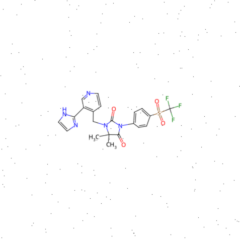 CC1(C)C(=O)N(c2ccc(S(=O)(=O)C(F)(F)F)cc2)C(=O)N1Cc1ccncc1-c1ncc[nH]1